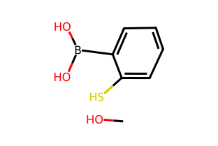 CO.OB(O)c1ccccc1S